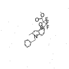 COC(=O)C(F)(Oc1cccc2c1cc(C)n2Cc1ccccc1)C(F)(F)Br